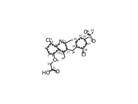 Cc1nc2c(Cl)ccc(OCC(=O)O)c2c(C)c1Cc1ccc(S(C)(=O)=O)cc1Cl